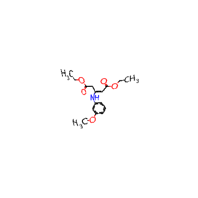 CCOC(=O)C=C(CC(=O)OCC)Nc1cccc(OC)c1